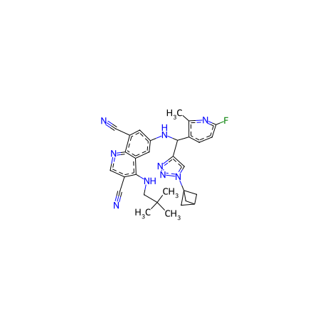 Cc1nc(F)ccc1C(Nc1cc(C#N)c2ncc(C#N)c(NCC(C)(C)C)c2c1)c1cn(C23CC(C2)C3)nn1